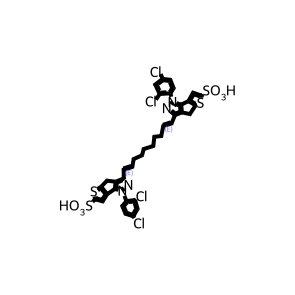 O=S(=O)(O)c1cc2c(s1)Cc1c(/C=C/CCCCCC/C=C/c3nn(-c4ccc(Cl)cc4Cl)c4c3Cc3sc(S(=O)(=O)O)cc3-4)nn(-c3ccc(Cl)cc3Cl)c1-2